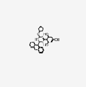 OC1=CC(O)C(C2=NC(OC3CCCC3)NC(c3c4ccccc4cc4ccccc34)=N2)C(O)=C1